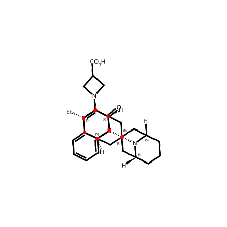 CC[C@@H]1C[C@@H]2C[C@H](C1)C[C@@H](N1[C@@H]3CCC[C@H]1C[C@@H](n1c(=O)c(N4CC(C(=O)O)C4)nc4ccccc41)C3)C2